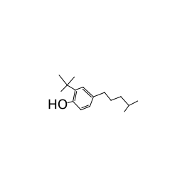 CC(C)CCCc1ccc(O)c(C(C)(C)C)c1